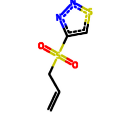 C=CCS(=O)(=O)c1csnn1